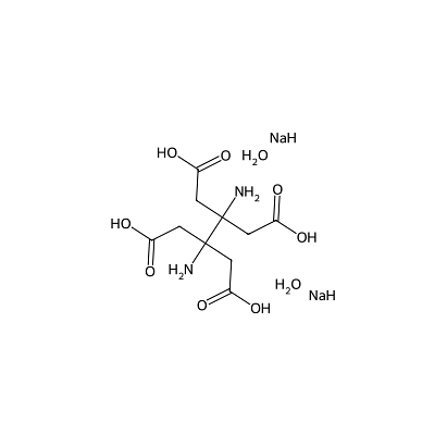 NC(CC(=O)O)(CC(=O)O)C(N)(CC(=O)O)CC(=O)O.O.O.[NaH].[NaH]